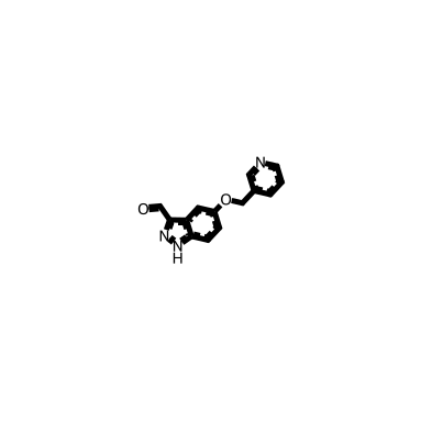 O=Cc1n[nH]c2ccc(OCc3cccnc3)cc12